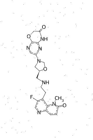 Cn1c(=O)ccc2ncc(F)c(CCNC[C@H]3CN(c4cnc5c(n4)NC(=O)CO5)CO3)c21